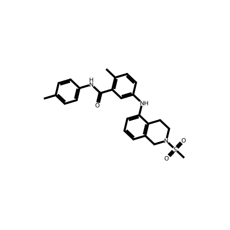 Cc1ccc(NC(=O)c2cc(Nc3cccc4c3CCN(S(C)(=O)=O)C4)ccc2C)cc1